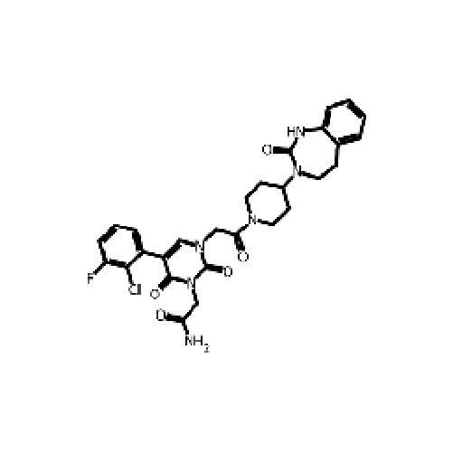 NC(=O)Cn1c(=O)c(-c2cccc(F)c2Cl)cn(CC(=O)N2CCC(N3CCc4ccccc4NC3=O)CC2)c1=O